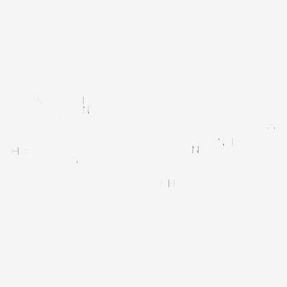 Cc1cc2c(cc1C1=NNC(C=O)CC1)NC(=O)C(C)O2